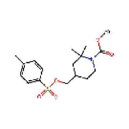 Cc1ccc(S(=O)(=O)OCC2CCN(C(=O)OC(C)(C)C)C(C)(C)C2)cc1